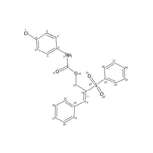 O=C(Nc1ccc(Cl)cc1)OC/C(=C\c1ccccc1)S(=O)(=O)c1ccccc1